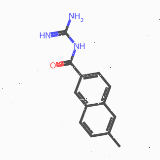 Cc1ccc2cc(C(=O)NC(=N)N)ccc2c1